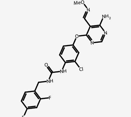 CON=Cc1c(N)ncnc1Oc1ccc(NC(=O)NCc2ccc(F)cc2F)c(Cl)c1